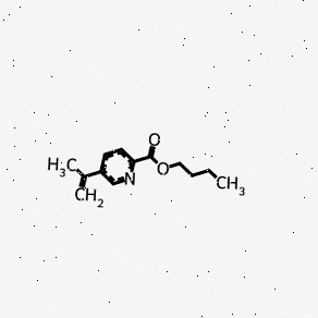 C=C(C)c1ccc(C(=O)OCCCC)nc1